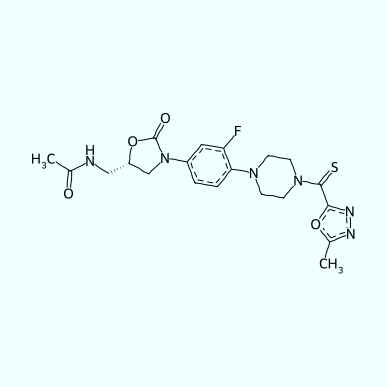 CC(=O)NC[C@H]1CN(c2ccc(N3CCN(C(=S)c4nnc(C)o4)CC3)c(F)c2)C(=O)O1